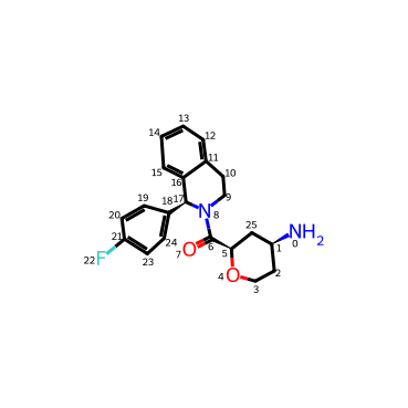 N[C@H]1CCO[C@@H](C(=O)N2CCc3ccccc3[C@@H]2c2ccc(F)cc2)C1